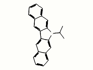 CC(C)n1c2cc3ccccc3cc2c2cc3ccccc3cc21